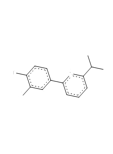 CC(C)c1cccc(-c2ccc(F)c(Cl)c2)n1